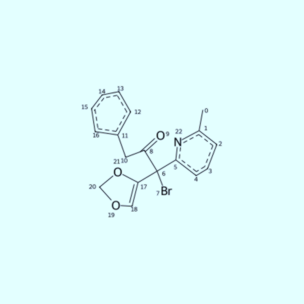 Cc1cccc(C(Br)(C(=O)Cc2ccccc2)C2=COCO2)n1